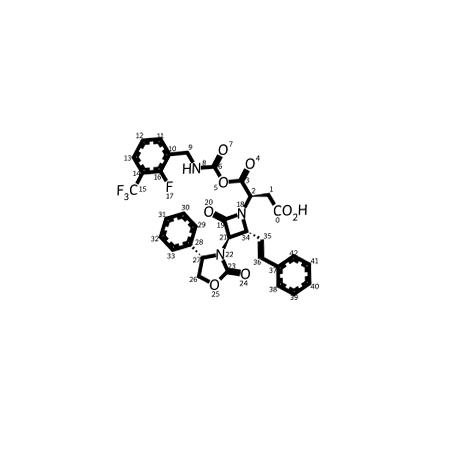 O=C(O)C[C@H](C(=O)OC(=O)NCc1cccc(C(F)(F)F)c1F)N1C(=O)[C@H](N2C(=O)OC[C@@H]2c2ccccc2)[C@H]1C=Cc1ccccc1